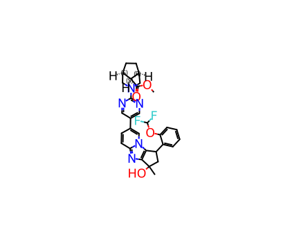 COC(=O)[C@H]1[C@@H]2CC[C@H]1CN(c1ncc(-c3ccc4nc5c(n4c3)C(c3ccccc3OC(F)F)CC5(C)O)cn1)C2